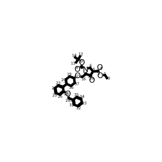 CCOC(=O)C1CN(C(=O)OC(C)(C)C)C(COC2CCC(c3ccccc3OCc3ccccc3)CC2)C1=O